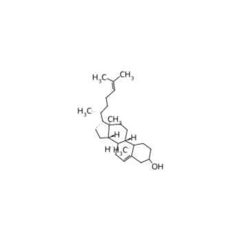 CC(C)=CCC[C@@H](C)[C@H]1CC[C@H]2[C@@H]3CC=C4CC(O)CC[C@]4(C)[C@H]3CC[C@]12C